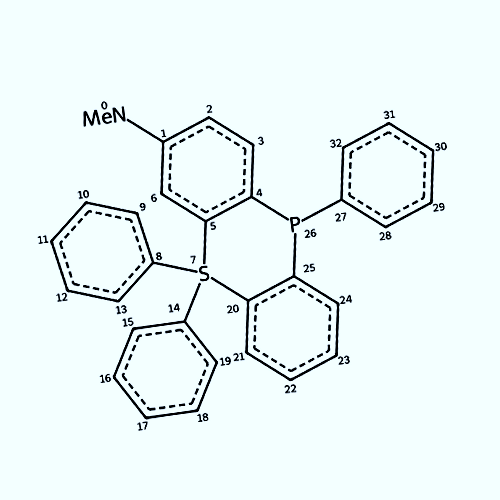 CNc1ccc2c(c1)S(c1ccccc1)(c1ccccc1)c1ccccc1P2c1ccccc1